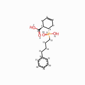 O=C(O)[C@H]1CC=CC[C@@H]1P(=O)(O)CCCCc1ccccc1